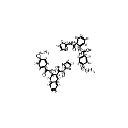 COc1ccc(C(=O)Nc2cc3ccccc3cc2C(=O)Nc2nccs2)cc1.COc1ccc(C(=O)Nc2ccccc2C(=O)Nc2nccs2)cc1